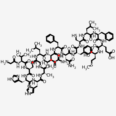 CC[C@H](C)[C@H](NC(=O)[C@H](CC(C)C)NC(=O)[C@H](CCCNC(=N)N)NC(=O)[C@H](C)NC(=O)[C@H](Cc1c[nH]cn1)NC(=O)[C@H](Cc1c[nH]cn1)NC(=O)[C@H](CO)NC(=O)[C@@H](NC(=O)CN)C(C)C)C(=O)N[C@@H](Cc1ccccc1)C(=O)N[C@@H](CC(N)=O)C(=O)N[C@@H](Cc1ccccc1)C(=O)N[C@@H](CS)C(=O)N[C@@H](CC(C)C)C(=O)N[C@@H](Cc1ccccc1)C(=O)N[C@@H](CCC(=O)O)C(=O)N[C@@H](CCSC)C(=O)O